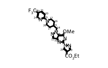 CCOC(=O)c1cnn(-c2nc(OC)c3c(cnn3CC3CCN(c4ccc(C(F)(F)F)cn4)CC3)n2)c1